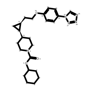 O=C(OC1CCCCC1)N1CCC([C@H]2C[C@H]2CCOc2ccc(-n3cnnn3)cc2)CC1